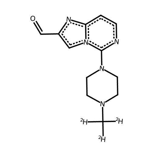 [2H]C([2H])([2H])N1CCN(c2nccc3nc(C=O)cn23)CC1